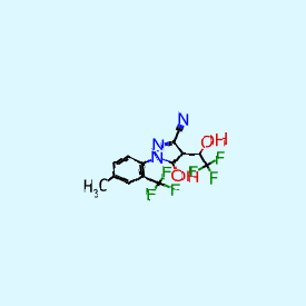 Cc1ccc(N2N=C(C#N)C(C(O)C(F)(F)F)C2O)c(C(F)(F)F)c1